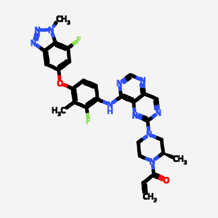 C=CC(=O)N1CCN(c2ncc3ncnc(Nc4ccc(Oc5cc(F)c6c(c5)nnn6C)c(C)c4F)c3n2)C[C@H]1C